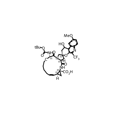 COc1ccc2nc(C(F)(F)F)c3c(c2c1)C(O)C[C@]1(C[C@H]2C(=O)N[C@]4(C(=O)O)C[C@H]4C=CCCCCC[C@H](NC(=O)OC(C)(C)C)C(=O)N2C1)O3